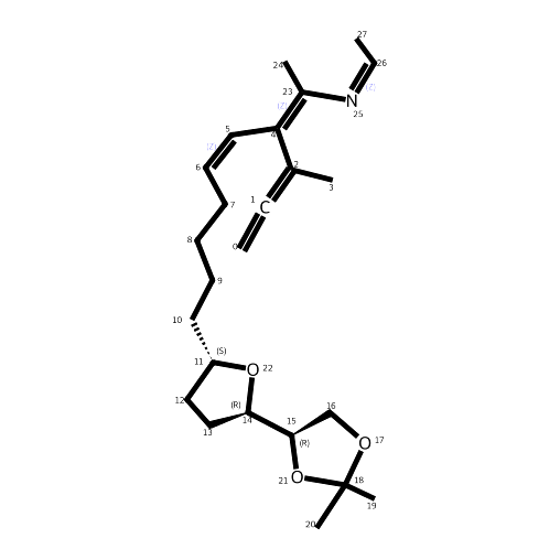 C=C=C(C)C(/C=C\CCCC[C@H]1CC[C@H]([C@H]2COC(C)(C)O2)O1)=C(C)\N=C/C